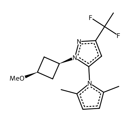 CO[C@H]1C[C@@H](n2nc(C(C)(F)F)cc2-n2c(C)ccc2C)C1